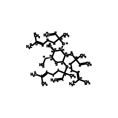 C=CC(C)(CCC=C(C)C)OC1O[C@H](CO)[C@@H](O)[C@H](OC(C)(C=C)CCC=C(C)C)[C@H]1OC(C)(C=C)CCC=C(C)C